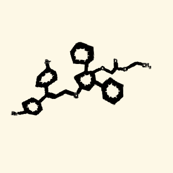 CCOC(=O)COc1c(-c2ccccc2)cc(OCC=C(c2ccc(Br)cc2)c2ccc(Br)cc2)cc1-c1ccccc1